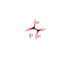 O=C(O)C(=O)O.[Cr]